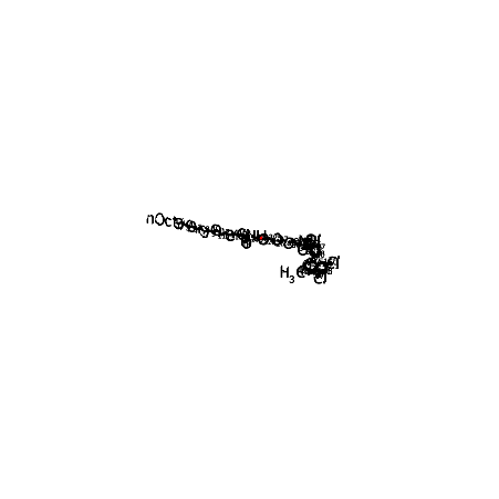 CCCCCCCCOCCOCCOCCOCCOCCOC(=O)NCCOCCOCCOCCNS(=O)(=O)c1cccc([C@@H]2CN(C)Cc3c(Cl)cc(Cl)cc32)c1